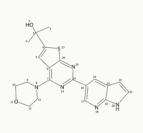 CC(C)(O)c1cc2c(N3CCOCC3)nc(-c3cnc4[nH]ccc4c3)nc2s1